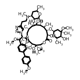 CC[C@H]1OC(=O)[C@H](C)[C@@H](O[C@H]2C[C@@](C)(OC)[C@@H](O)[C@H](C)O2)[C@H](C)[C@@H](O[C@@H]2O[C@H](C)C[C@H](N(C)CCc3cn([C@H](CF)[C@H](OC)c4ccc(-c5ccc(OC)cc5)cc4)nn3)[C@H]2O)[C@](C)(O)C[C@@H](C)CN(C)[C@H](C)[C@@H](O)[C@]1(C)O